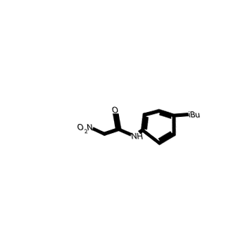 CCC(C)c1ccc(NC(=O)C[N+](=O)[O-])cc1